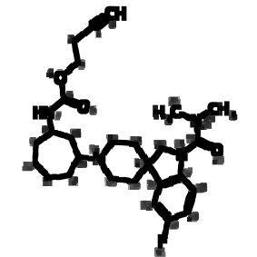 C#CCCOC(=O)NC1CCCCC(N2CCC3(CC2)CN(C(=O)N(C)C)c2ccc(F)cc23)C1